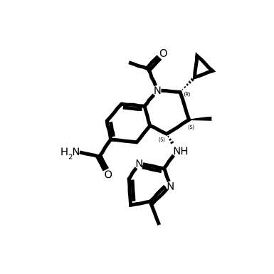 CC(=O)N1C2=CC=C(C(N)=O)CC2[C@@H](Nc2nccc(C)n2)[C@H](C)[C@H]1C1CC1